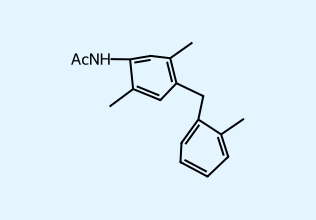 CC(=O)Nc1cc(C)c(Cc2ccccc2C)cc1C